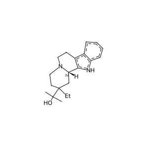 CCC1(C(C)(C)O)CCN2CCc3c([nH]c4ccccc34)[C@@H]2C1